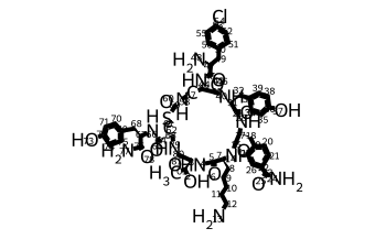 CC(O)[C@@H]1NC(=O)[C@H](CCCCCN)NC(=O)[C@@H](Cc2ccc(C(N)=O)cc2)NC(=O)[C@H](Cc2ccc(O)cc2)NC(=O)[C@H](NC(=O)[C@@H](N)Cc2ccc(Cl)cc2)CNC(=O)SC[C@@H](C(=O)N[C@H](Cc2ccc(O)cc2)C(N)=O)NC1=O